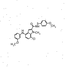 COc1ccc(SNC(=O)c2cc3c(Nc4cccc(OC)c4)ccc(Cl)c3n2C)cc1